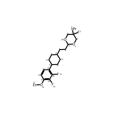 CCCC1(F)COC(CCC2CCC(c3ccc(OCC)c(F)c3F)CC2)OC1